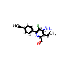 C#Cc1ccc(-c2nc(C=O)c(C=C)c(N)c2F)cc1